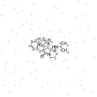 CC(C)N[C@H]1CCCN2C(=O)C(Cc3ccccc3)(C(=O)C(C)C)CC12